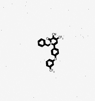 N#Cc1c(C(F)(F)F)cc(-c2ccc(Oc3cccc(C(F)(F)F)c3)cc2)n(Cc2ccccc2)c1=O